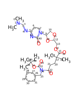 CN(C)C=Nc1ccn(C2COC(COC(=O)C(C)(C)CCC(=O)N(Cc3ccccc3)C(=O)OC(C)(C)C)O2)c(=O)n1